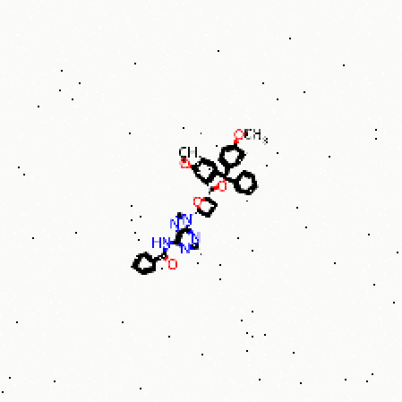 COc1ccc(C(OC[C@@H]2CC[C@H](n3cnc4c(NC(=O)c5ccccc5)ncnc43)O2)(c2ccccc2)c2ccc(OC)cc2)cc1